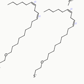 CCCCC/C=C\C/C=C\CCCCCCCCOCC[S-].CCCCC/C=C\C/C=C\CCCCCCCCOCC[S-].[CH3][Sn+2][CH3]